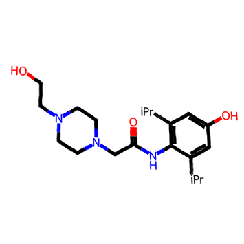 CC(C)c1cc(O)cc(C(C)C)c1NC(=O)CN1CCN(CCO)CC1